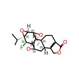 CC(C)[C@]12O[C@H]1[C@@H]1O[C@]13[C@]1(O[C@H]1C[C@H]1C4=C(CC[C@@]13C)C(=O)OC4)[C@H]2F